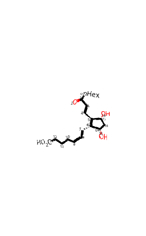 CCCCCCC(=O)CC[C@@H]1[C@@H](C/C=C\CCCC(=O)O)[C@@H](O)C[C@H]1O